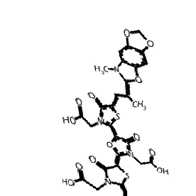 C/C(C=c1s/c(=c2/o/c(=C3/SC(=O)N(CC(=O)O)C3=O)n(CC(=O)O)c2=O)n(CC(=O)O)c1=O)=C1\Oc2cc3c(cc2N1C)OCO3